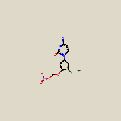 Nc1ccn(C2C=C(F)C(OCO[PH](=O)[O-])C2)c(=O)n1.[Na+]